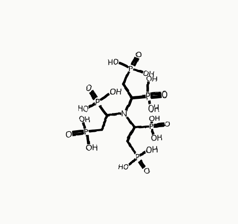 O=P(O)(O)CC(N(C(CP(=O)(O)O)P(=O)(O)O)C(CP(=O)(O)O)P(=O)(O)O)P(=O)(O)O